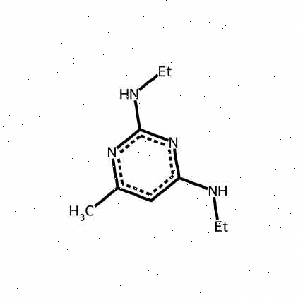 CCNc1cc(C)nc(NCC)n1